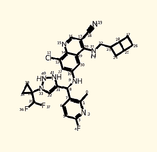 Cc1nc(F)ccc1[C@H](Nc1cc(Cl)c2ncc(C#N)c(NCC3CC4CCC43)c2c1)C1=CN(C2(C(F)F)CC2)NN1